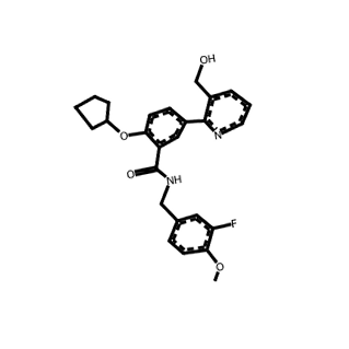 COc1ccc(CNC(=O)c2cc(-c3ncccc3CO)ccc2OC2CCCC2)cc1F